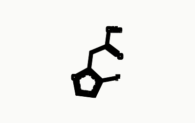 COC(=O)Cc1occc1F